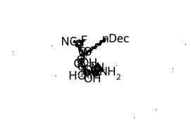 CCCCCCCCCCCCCCCCCOC[C@](C)(COP(=O)(O)O[C@@H](C)[C@@]1(C)O[C@@H](c2ccc3c(N)ncnn23)[C@H](O)[C@@H]1O)OCc1cc(F)cc(C#N)c1